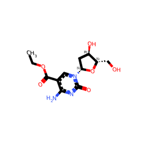 CCOC(=O)c1cn([C@@H]2C[C@@H](O)[C@H](CO)O2)c(=O)nc1N